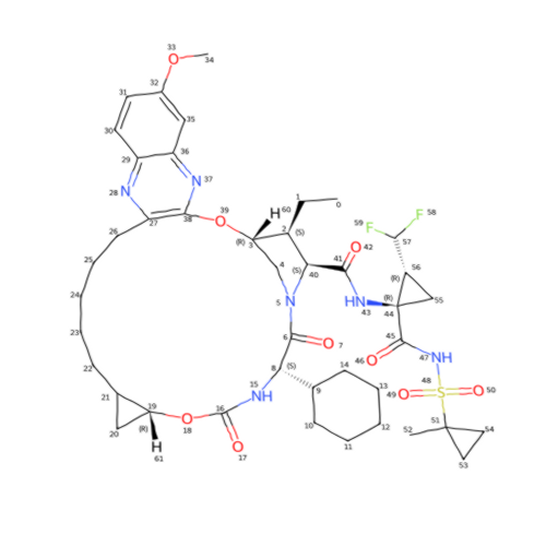 CC[C@@H]1[C@@H]2CN(C(=O)[C@H](C3CCCCC3)NC(=O)O[C@@H]3CC3CCCCCc3nc4ccc(OC)cc4nc3O2)[C@@H]1C(=O)N[C@]1(C(=O)NS(=O)(=O)C2(C)CC2)C[C@H]1C(F)F